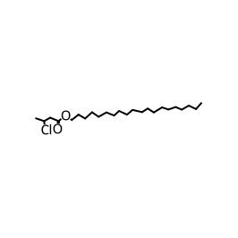 CCCCCCCCCCCCCCCCCCCCOC(=O)CC(C)Cl